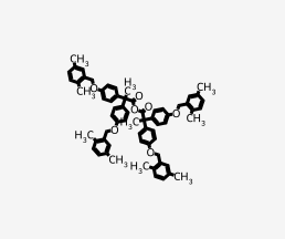 Cc1ccc(C)c(COc2ccc(C(C)(C(=O)OC(=O)C(C)(c3ccc(OCc4cc(C)ccc4C)cc3)c3ccc(OCc4cc(C)ccc4C)cc3)c3ccc(OCc4cc(C)ccc4C)cc3)cc2)c1